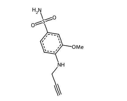 C#CCNc1ccc(S(N)(=O)=O)cc1OC